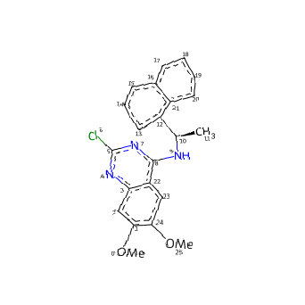 COc1cc2nc(Cl)nc(N[C@H](C)c3cccc4ccccc34)c2cc1OC